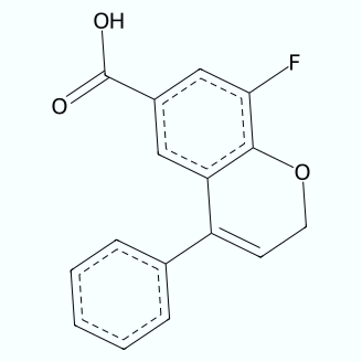 O=C(O)c1cc(F)c2c(c1)C(c1ccccc1)=CCO2